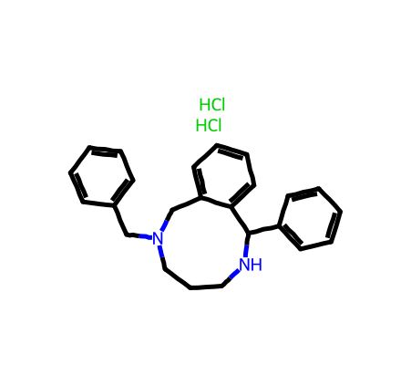 Cl.Cl.c1ccc(CN2CCCNC(c3ccccc3)c3ccccc3C2)cc1